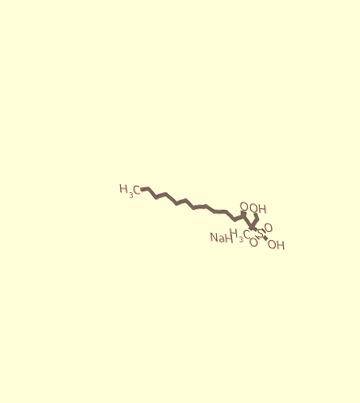 CCCCCCCCCCCC(=O)C(C)(CO)S(=O)(=O)O.[NaH]